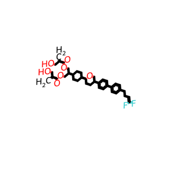 C=C(CO)C(=O)OCC(COC(=O)C(=C)CO)C1CCC(C2CCC(c3ccc(-c4ccc(CCC=C(F)F)cc4)cc3)CO2)CC1